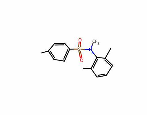 Cc1ccc(S(=O)(=O)N(c2c(C)cccc2C)C(F)(F)F)cc1